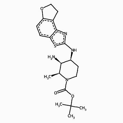 C[C@H]1[C@@H](N)[C@@H](Nc2nc3c4c(ccc3s2)OCC4)CCN1C(=O)OC(C)(C)C